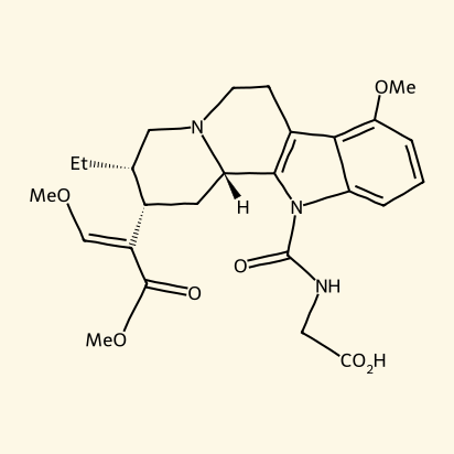 CC[C@@H]1CN2CCc3c(n(C(=O)NCC(=O)O)c4cccc(OC)c34)[C@@H]2C[C@@H]1/C(=C\OC)C(=O)OC